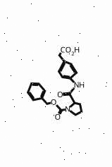 O=C(O)Cc1ccc(NC(=O)C2CCCN2C(=O)OCc2ccccc2)cc1